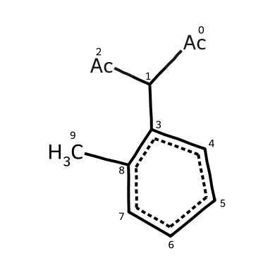 CC(=O)C(C(C)=O)c1ccccc1C